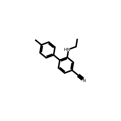 CCNc1cc(C#N)ccc1-c1ccc(C)cc1